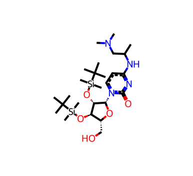 CC(CN(C)C)Nc1ccn([C@@H]2O[C@H](CO)[C@@H](O[Si](C)(C)C(C)(C)C)[C@@H]2O[Si](C)(C)C(C)(C)C)c(=O)n1